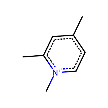 Cc1cc[n+](C)c(C)c1